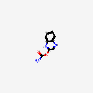 NC(=O)Oc1cnc2ccccc2n1